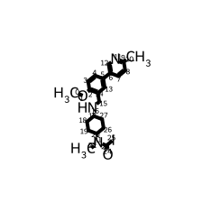 COc1ccc(-c2ccc(C)nc2)cc1CN[C@H]1CC[C@H](N(C)C(=O)I)CC1